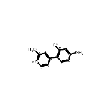 Cc1cc(-c2ccc(N)cc2F)ccn1